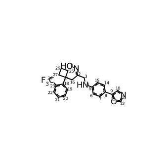 O/N=C(/CNc1ccc(-c2cnco2)cc1)CC1(c2ccccc2C(F)(F)F)CCC1